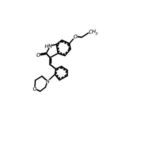 CCOc1ccc2c(c1)NC(=O)/C2=C/c1ccccc1N1CCOCC1